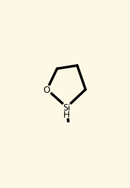 C[SiH]1CCCO1